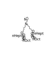 CCCCCCCC[Si](C)(C)O[Si](C)(C)OC(CCCCCCC)OCCCCCCN(CCCCCCOC(CCCCCCC)O[Si](C)(C)O[Si](C)(C)CCCCCCCC)CCC1CCCN1C